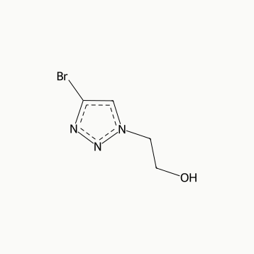 OCCn1cc(Br)nn1